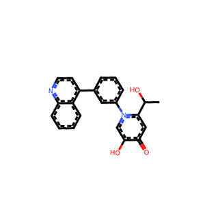 CC(O)c1cc(=O)c(O)cn1-c1cccc(-c2ccnc3ccccc23)c1